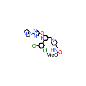 COC(=O)NCC1CCN(Cc2cc(Oc3cnc(N4CCN5CCC4C5)nc3)nc(-c3cc(Cl)cc(Cl)c3)c2)CC1